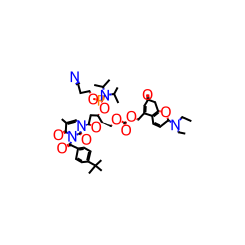 CCN(CC)C1C=CC2=C(CC(=O)C=C2COC(=O)OC[C@H]2O[C@@H](n3cc(C)c(=O)n(C(=O)c4ccc(C(C)(C)C)cc4)c3=O)C[C@@H]2OP(OCCC#N)N(C(C)C)C(C)C)O1